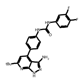 CC(C)(C)c1cc(-c2ccc(NC(=O)Nc3ccc(F)c(F)c3)cc2)c2c(N)n[nH]c2n1